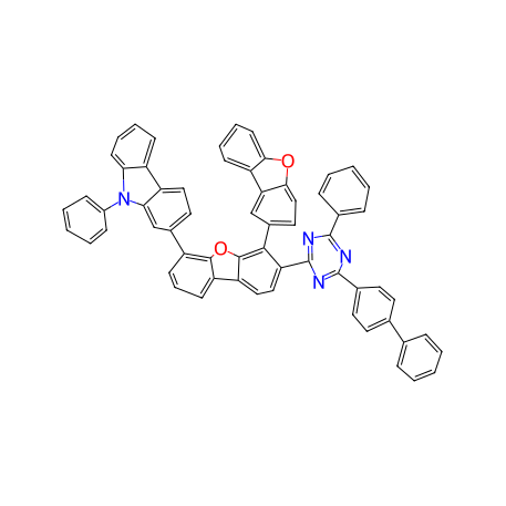 c1ccc(-c2ccc(-c3nc(-c4ccccc4)nc(-c4ccc5c(oc6c(-c7ccc8c9ccccc9n(-c9ccccc9)c8c7)cccc65)c4-c4ccc5oc6ccccc6c5c4)n3)cc2)cc1